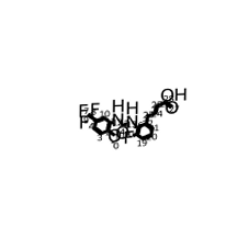 COc1ccc(C(F)(F)F)cc1NC(=O)Nc1c(F)cccc1CC=CC(=O)O